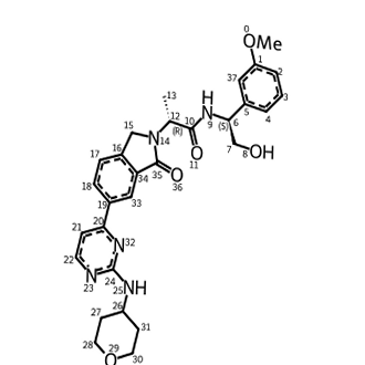 COc1cccc([C@@H](CO)NC(=O)[C@@H](C)N2Cc3ccc(-c4ccnc(NC5CCOCC5)n4)cc3C2=O)c1